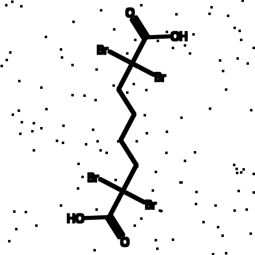 O=C(O)C(Br)(Br)CCCCC(Br)(Br)C(=O)O